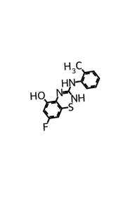 Cc1ccccc1NC1=Nc2c(O)cc(F)cc2SN1